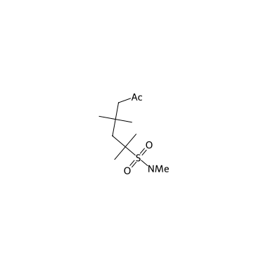 CNS(=O)(=O)C(C)(C)CC(C)(C)CC(C)=O